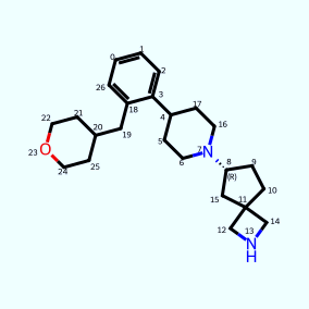 c1ccc(C2CCN([C@@H]3CCC4(CNC4)C3)CC2)c(CC2CCOCC2)c1